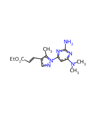 CCOC(=O)/C=C/c1cnn(-c2cc(N(C)C)nc(N)n2)c1C